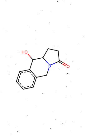 O=C1CCC2C(O)c3ccccc3CN12